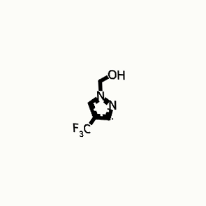 OCn1cc(C(F)(F)F)[c]n1